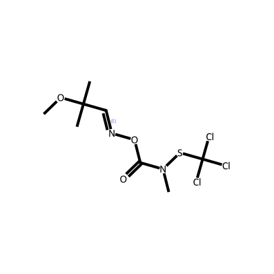 COC(C)(C)/C=N/OC(=O)N(C)SC(Cl)(Cl)Cl